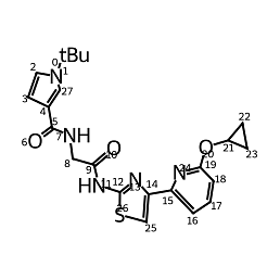 CC(C)(C)n1ccc(C(=O)NCC(=O)Nc2nc(-c3cccc(OC4CC4)n3)cs2)c1